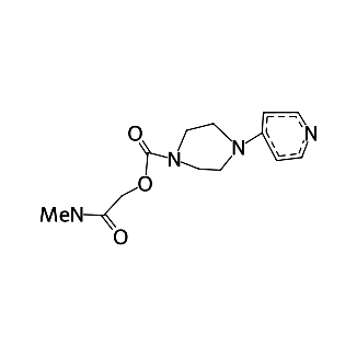 CNC(=O)COC(=O)N1CCN(c2ccncc2)CC1